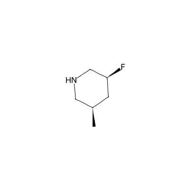 C[C@H]1CNC[C@@H](F)C1